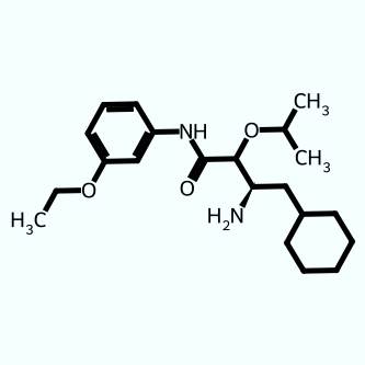 CCOc1cccc(NC(=O)C(OC(C)C)[C@H](N)CC2CCCCC2)c1